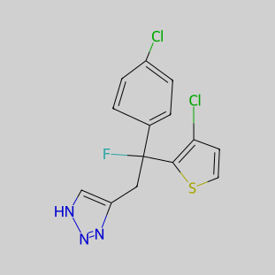 FC(Cc1c[nH]nn1)(c1ccc(Cl)cc1)c1sccc1Cl